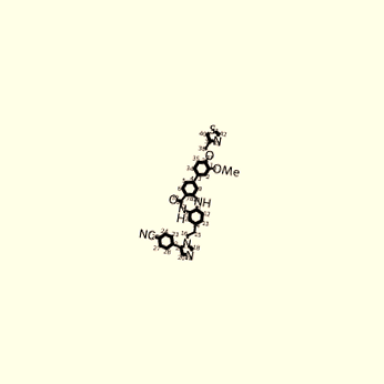 COc1cc(-c2ccc3c(c2)Nc2ccc(CCn4cncc4-c4ccc(C#N)cc4)cc2NC3=O)ccc1OCc1cscn1